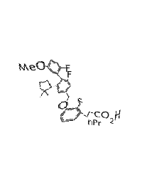 CCC[C@@H](CC(=O)O)c1cccc(OCc2cc(F)c(-c3cc(OC)ccc3F)c([C@H]3CCCC3(C)C)c2)c1F